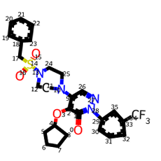 O=c1c(OC2CCCC2)c(N2CCN(S(=O)(=O)Cc3ccccc3)CC2)cnn1-c1cccc(C(F)(F)F)c1